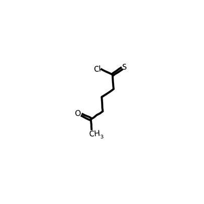 CC(=O)CCCC(=S)Cl